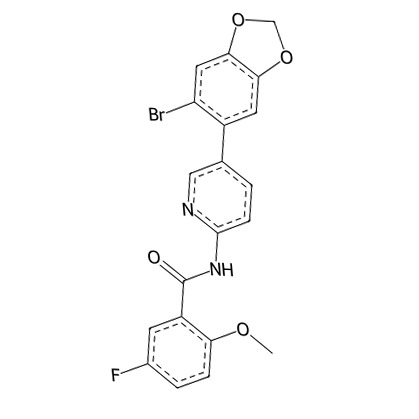 COc1ccc(F)cc1C(=O)Nc1ccc(-c2cc3c(cc2Br)OCO3)cn1